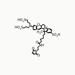 CC1(CCCCCC(=O)NCCN2C(=O)C=CC2=O)C2=[N+](CCC3Oc4cc(N(CCCS(=O)(=O)O)CCCS(=O)(=O)O)ccc4C=C23)c2ccc(S(=O)(=O)O)cc21